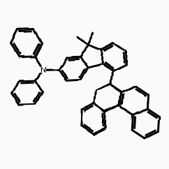 CC1(C)c2cc(N(c3ccccc3)c3ccccc3)ccc2-c2c(C3Cc4ccccc4-c4c3ccc3ccccc43)cccc21